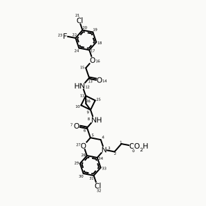 O=C(O)CCN1CC(C(=O)NC23CC(NC(=O)COc4ccc(Cl)c(F)c4)(C2)C3)Oc2ccc(Cl)cc21